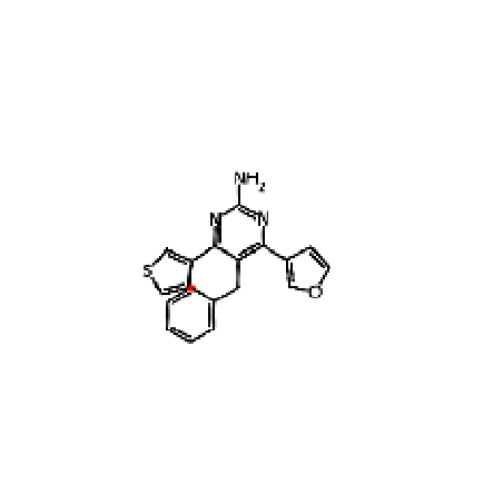 Nc1nc(-c2ccoc2)c(Cc2ccccc2)c(-c2ccsc2)n1